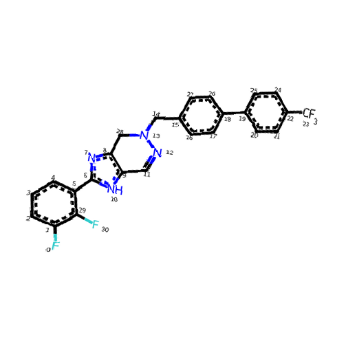 Fc1cccc(-c2nc3c([nH]2)C=NN(Cc2ccc(-c4ccc(C(F)(F)F)cc4)cc2)C3)c1F